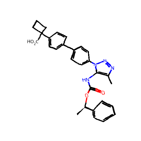 Cc1nnn(-c2ccc(-c3ccc(C4(C(=O)O)CCC4)cc3)cc2)c1NC(=O)O[C@H](C)c1ccccc1